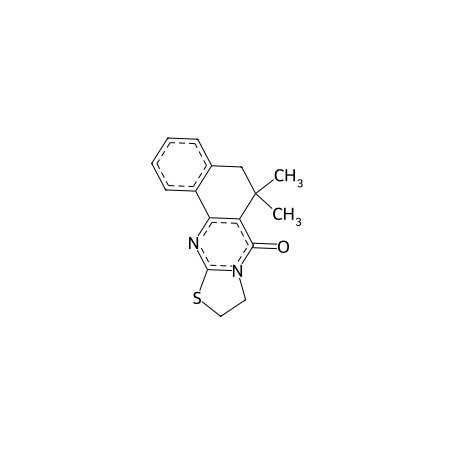 CC1(C)Cc2ccccc2-c2nc3n(c(=O)c21)CCS3